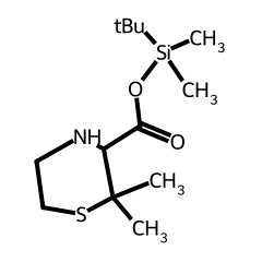 CC1(C)SCCNC1C(=O)O[Si](C)(C)C(C)(C)C